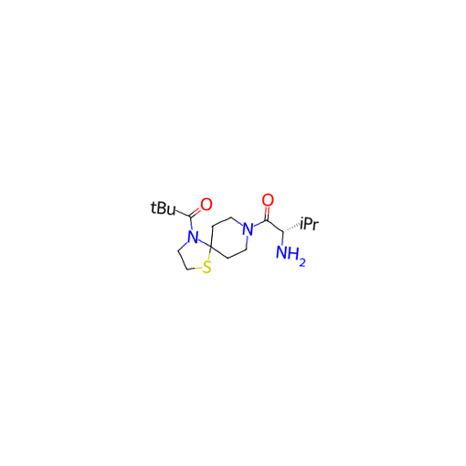 CC(C)[C@H](N)C(=O)N1CCC2(CC1)SCCN2C(=O)C(C)(C)C